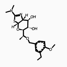 CCc1cc(CO[C@@H](C)[C@H]2O[C@@H]3SC(N(C)C)=N[C@@H]3[C@@H](O)[C@@H]2O)ccc1OC